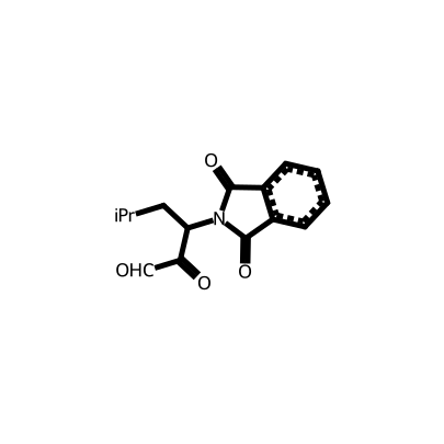 CC(C)CC(C(=O)C=O)N1C(=O)c2ccccc2C1=O